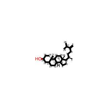 C=C(CC[C@@H](C)[C@H]1CC[C@@]2(C)[C@@H]3CCC4CC(O)CC[C@@]45C[C@]35CC[C@]12C)C(C)C